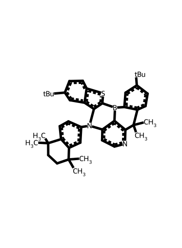 CC(C)(C)c1ccc2c(c1)B1c3sc4ccc(C(C)(C)C)cc4c3N(c3ccc4c(c3)C(C)(C)CCC4(C)C)c3ccnc(c31)C2(C)C